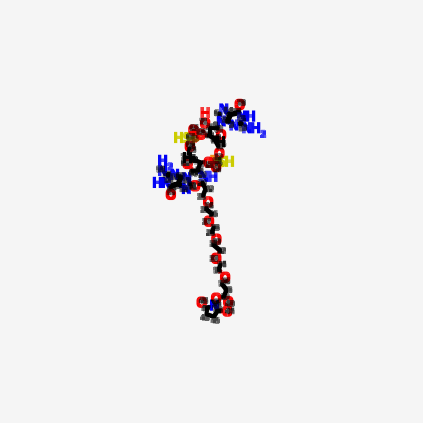 Nc1nc2c(ncn2[C@@H]2O[C@@H]3COP(=O)(S)OC4C(NC(=O)CCOCCOCCOCCOCCOCCC(=O)ON5C(=O)CCC5=O)[C@H](n5cnc6c(=O)[nH]c(N)nc65)O[C@@H]4COP(=O)(S)OC3C2O)c(=O)[nH]1